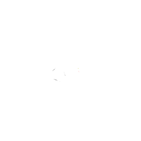 CCOS(=O)Oc1cccc(C)c1